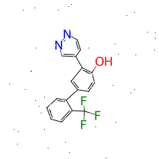 Oc1ccc(-c2ccccc2C(F)(F)F)cc1-c1ccnnc1